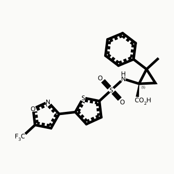 CC1(c2ccccc2)C[C@@]1(NS(=O)(=O)c1ccc(-c2cc(C(F)(F)F)on2)s1)C(=O)O